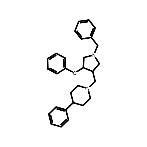 c1ccc(CN2CC(CN3CCC(c4ccccc4)CC3)C(Oc3ccccc3)C2)cc1